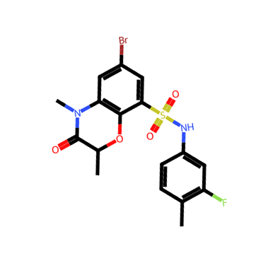 Cc1ccc(NS(=O)(=O)c2cc(Br)cc3c2OC(C)C(=O)N3C)cc1F